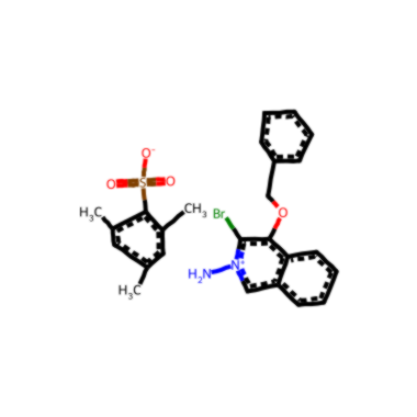 Cc1cc(C)c(S(=O)(=O)[O-])c(C)c1.N[n+]1cc2ccccc2c(OCc2ccccc2)c1Br